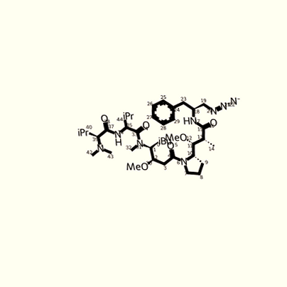 CC[C@H](C)[C@@H]([C@@H](CC(=O)N1CCC[C@H]1[C@H](OC)[C@@H](C)C(=O)N[C@H](CN=[N+]=[N-])Cc1ccccc1)OC)N(C)C(=O)C(NC(=O)[C@H](C(C)C)N(C)C)C(C)C